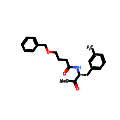 COC(=O)[C@@H](Cc1cccc(C(F)(F)F)c1)NC(=O)CCCOCc1ccccc1